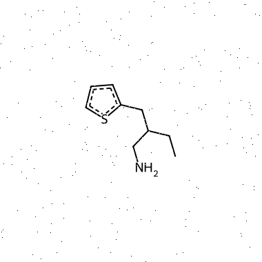 CCC(CN)Cc1cccs1